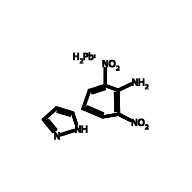 Nc1c([N+](=O)[O-])cccc1[N+](=O)[O-].[PbH2].c1cn[nH]c1